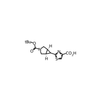 CC(C)(C)OC(=O)N1C[C@@H]2C(c3nc(C(=O)O)cs3)[C@@H]2C1